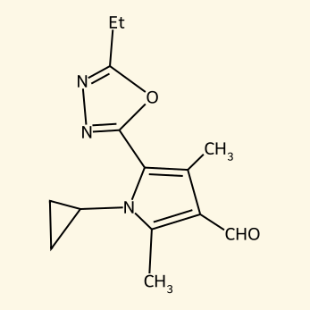 CCc1nnc(-c2c(C)c(C=O)c(C)n2C2CC2)o1